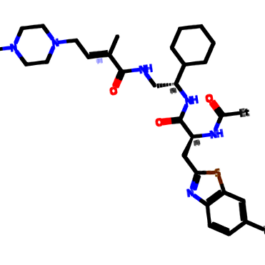 CCC(=O)N[C@@H](Cc1nc2ccc(C(C)C)cc2s1)C(=O)N[C@H](CNC(=O)/C(C)=C/CN1CCN(C)CC1)C1CCCCC1